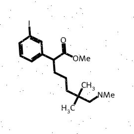 CNCC(C)(C)CCCC(C(=O)OC)c1cccc(I)c1